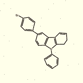 Brc1ccc(-c2ccc3c(c2)c2c(n3-c3ccccc3)CCC=C2)cc1